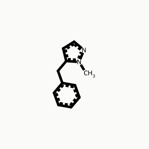 Cn1nccc1Cc1ccccc1